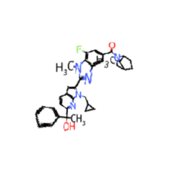 CC1C2CCC1N(C(=O)c1cc(F)c3c(c1)nc(-c1cc4ccc(C(C)(O)c5ccccc5)nc4n1CC1CC1)n3C)C2